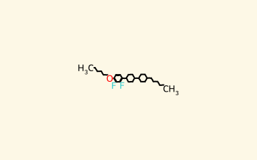 CCCCCCOc1ccc(C2CCC(C3CCC(CCCCCC)CC3)CC2)c(F)c1F